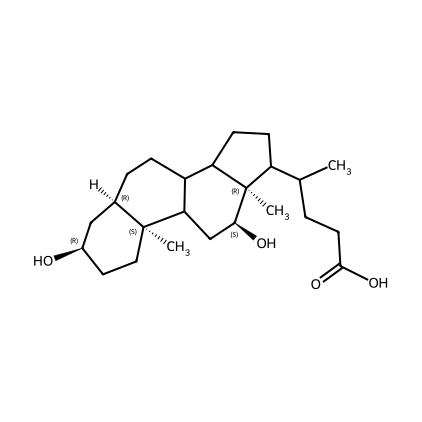 CC(CCC(=O)O)C1CCC2C3CC[C@@H]4C[C@H](O)CC[C@]4(C)C3C[C@H](O)[C@]12C